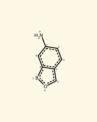 Nc1ccc2cobc2c1